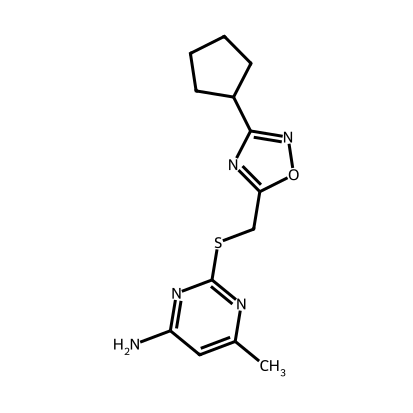 Cc1cc(N)nc(SCc2nc(C3CCCC3)no2)n1